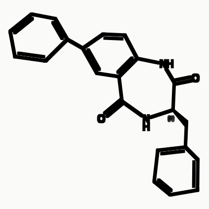 O=C1N[C@H](Cc2ccccc2)C(=O)Nc2ccc(-c3ccccc3)cc21